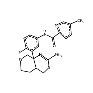 NC1=NC2(c3cc(NC(=O)c4ccc(C(F)(F)F)cn4)ccc3F)COCCC2CS1